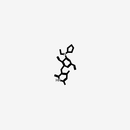 C=Cc1cc(CC2=C(C)C=C(C)NC2=C)c(C=C)c(N(CC)C2CCCC2)c1